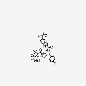 CN[C@@H](C)C(=O)N[C@H](C(=O)N1CCC[C@H]1CN(CCc1ccc(F)cc1)C(=O)c1cn2cc(NC(C)=O)ccc2n1)C(C)(C)C